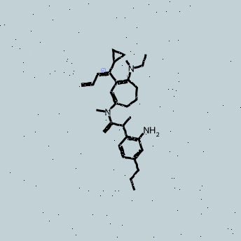 C=C/C=C(\C1=C(N(C)CC)CCCC(N(C)C(=C)C(C)c2ccc(CCC)cc2N)=C1)C1CC1